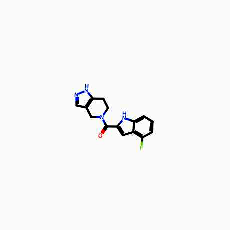 O=C(c1cc2c(F)cccc2[nH]1)N1CCc2[nH]ncc2C1